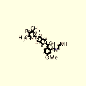 COc1ccc(C(=O)N2CC3CN(c4nc(C)c(F)c(C)n4)CC3C2)c(N/N=C\C=N)c1